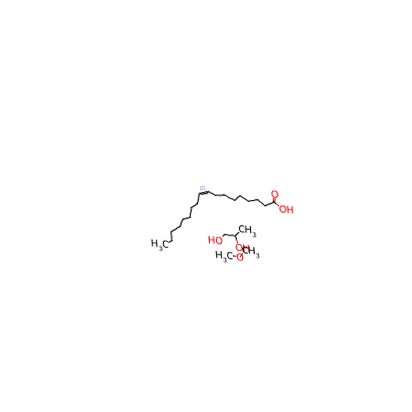 CC(O)CO.CCCCCCCC/C=C\CCCCCCCC(=O)O.COC